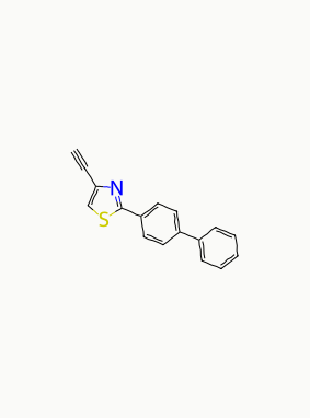 C#Cc1csc(-c2ccc(-c3ccccc3)cc2)n1